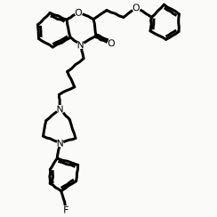 O=C1C(CCOc2ccccc2)Oc2ccccc2N1CCCCN1CCN(c2ccc(F)cc2)CC1